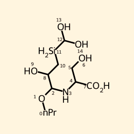 CCCOC(NC(CO)C(=O)O)C(O)C[SiH2]C(O)O